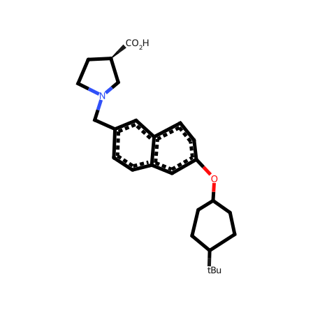 CC(C)(C)C1CCC(Oc2ccc3cc(CN4CC[C@@H](C(=O)O)C4)ccc3c2)CC1